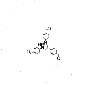 O=Cc1ccc(C2=CN(c3ccc(C=O)cc3)NN(c3ccc(C=O)cc3)C2)cc1